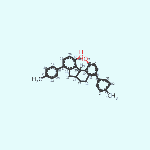 Cc1ccc(-c2ccc(O)c3c2CCC2Cc4c(-c5ccc(C)cc5)ccc(O)c4[C@H]32)cc1